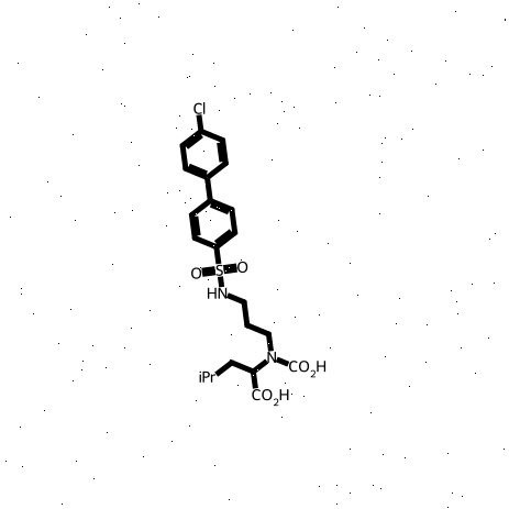 CC(C)CC(C(=O)O)N(CCCNS(=O)(=O)c1ccc(-c2ccc(Cl)cc2)cc1)C(=O)O